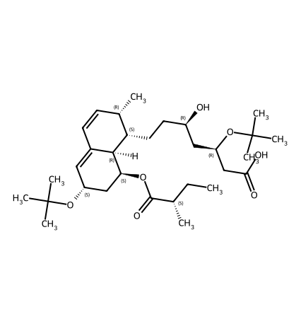 CC[C@H](C)C(=O)O[C@H]1C[C@H](OC(C)(C)C)C=C2C=C[C@H](C)[C@H](CC[C@@H](O)C[C@H](CC(=O)O)OC(C)(C)C)[C@H]21